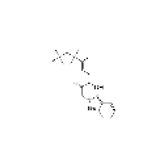 C=C(Cn1nc2ccccc2n1)/C(O)=C\C=C(/C)C(C)(C)CC(C)(C)C